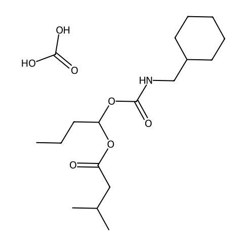 CCCC(OC(=O)CC(C)C)OC(=O)NCC1CCCCC1.O=C(O)O